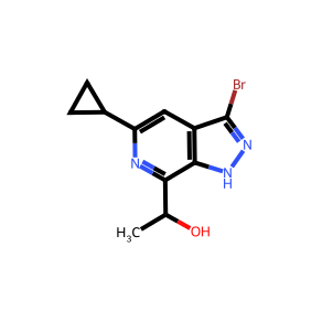 CC(O)c1nc(C2CC2)cc2c(Br)n[nH]c12